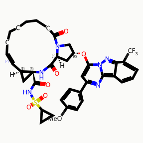 COc1ccc(-c2cc(O[C@@H]3C[C@H]4C(=O)N[C@]5(C(=O)NS(=O)(=O)C6CC6)C[C@H]5/C=C\CCCCCCC(=O)N4C3)n3nc4c(C(F)(F)F)cccc4c3n2)cc1